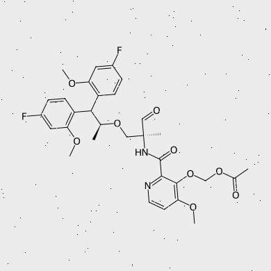 COc1cc(F)ccc1C(c1ccc(F)cc1OC)[C@H](C)OC[C@@](C)(C=O)NC(=O)c1nccc(OC)c1OCOC(C)=O